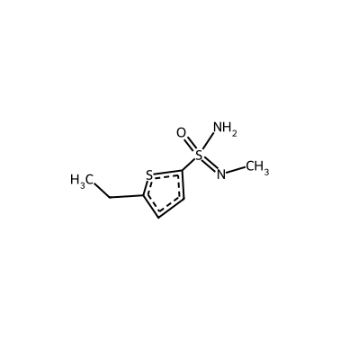 CCc1ccc(S(N)(=O)=NC)s1